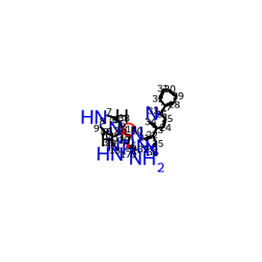 Nc1cc(C2C[C@H]3CNC[C@@H](C2)N3C(=O)c2nc[nH]n2)nc2c(-c3ccc(-c4ccccc4)nc3)cnn12